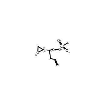 C=CCC(COS(C)(=O)=O)[C@@H]1CO1